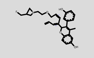 C=C/C=C(\C=C/COCCN1CC(CF)C1)C1Oc2ccc(O)cc2C(C)=C1c1cccc(O)c1